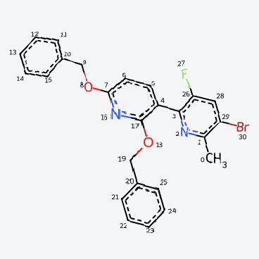 Cc1nc(-c2ccc(OCc3ccccc3)nc2OCc2ccccc2)c(F)cc1Br